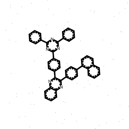 c1ccc(-c2nc(-c3ccccc3)nc(-c3ccc(-c4nc5ccccc5nc4-c4ccc(-c5cccc6ccccc56)cc4)cc3)n2)cc1